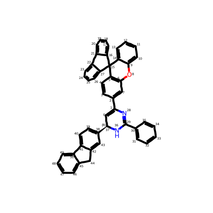 C1=C(c2ccc3c(c2)Oc2ccccc2C32c3ccccc3-c3ccccc32)N=C(c2ccccc2)N[C@H]1c1ccc2c(c1)Cc1ccccc1-2